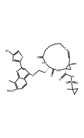 COc1ccc2c(OCC[C@@H]3NC(=O)CCCCC/C=C\[C@@H]4C[C@@]4(C(=O)NS(=O)(=O)C4(C)CC4)NC3=O)cc(-c3nc(C(C)C)cs3)nc2c1C